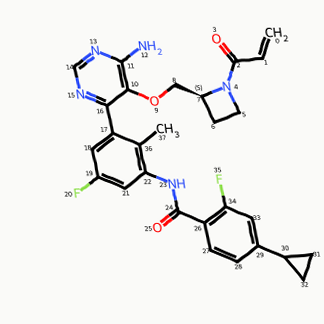 C=CC(=O)N1CC[C@H]1COc1c(N)ncnc1-c1cc(F)cc(NC(=O)c2ccc(C3CC3)cc2F)c1C